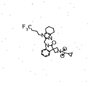 O=C1N(Cc2nc3c(n2CCCC(F)(F)F)CCCC3)c2ccccc2C12CN(S(=O)(=O)C1CC1)C2